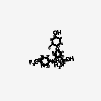 C[C@H]1C[C@H](O)CC[C@@H]1n1cc(C(N)O)c(Nc2ccc(C(F)(F)F)nc2)n1